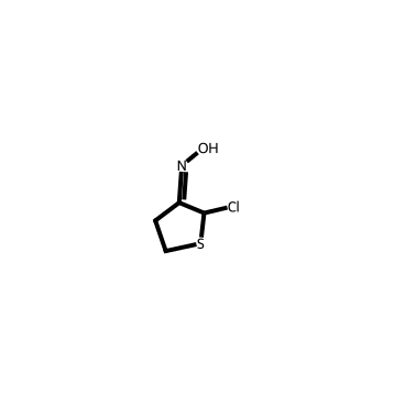 ON=C1CCSC1Cl